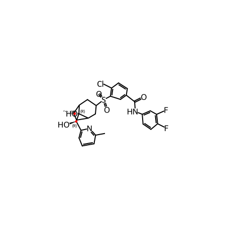 Cc1cccc([C@@H](O)[C@@]2(O)C3CC(S(=O)(=O)c4cc(C(=O)Nc5ccc(F)c(F)c5)ccc4Cl)CC2[C@@H](C)C3)n1